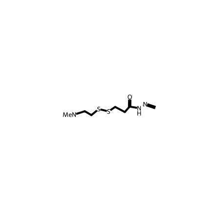 C=NNC(=O)CCSSCCNC